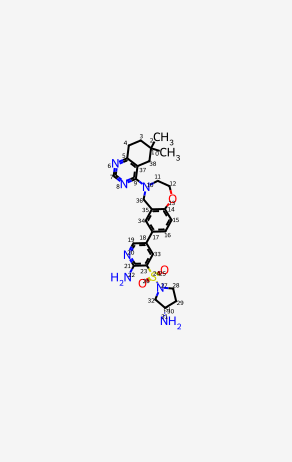 CC1(C)CCc2ncnc(N3CCOc4ccc(-c5cnc(N)c(S(=O)(=O)N6CC[C@H](N)C6)c5)cc4C3)c2C1